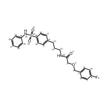 O=C(COCc1ccc(F)cc1)NCCCc1ccc(S(=O)(=O)Nc2ccccc2)cc1